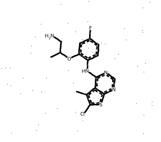 Cc1c(Cl)sc2ncnc(Nc3ccc(F)cc3OC(C)CN)c12